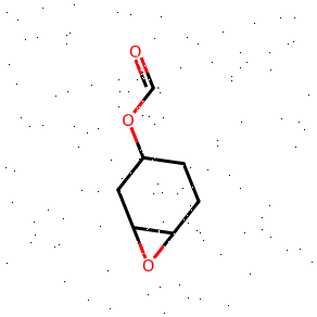 O=[C]OC1CCC2OC2C1